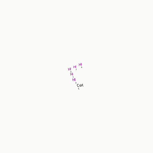 I.I.I.I.I.[CsH]